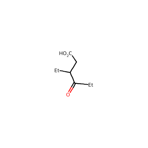 CCC(=O)C(CC)CC(=O)O